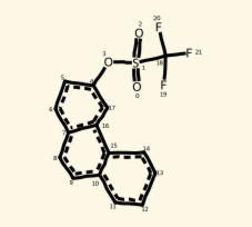 O=S(=O)(Oc1ccc2ccc3ccccc3c2c1)C(F)(F)F